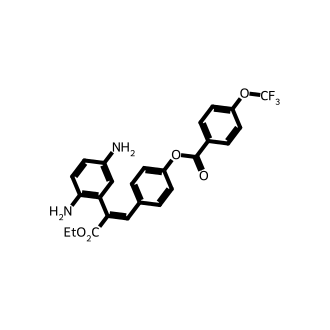 CCOC(=O)C(=Cc1ccc(OC(=O)c2ccc(OC(F)(F)F)cc2)cc1)c1cc(N)ccc1N